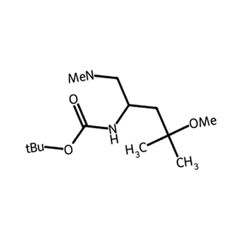 CNCC(CC(C)(C)OC)NC(=O)OC(C)(C)C